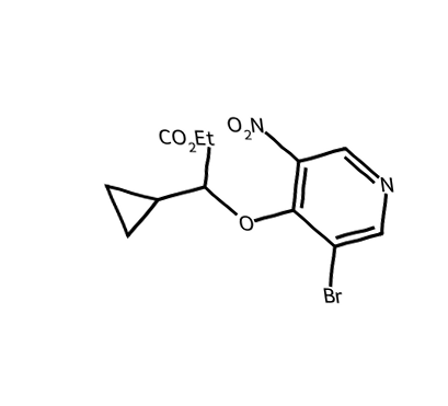 CCOC(=O)C(Oc1c(Br)cncc1[N+](=O)[O-])C1CC1